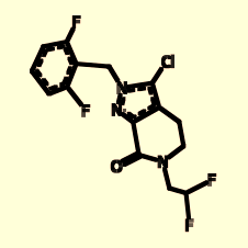 O=C1c2nn(Cc3c(F)cccc3F)c(Cl)c2CCN1CC(F)F